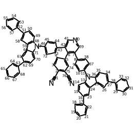 N#Cc1ccc(-c2c(-c3ccc(-n4c5ccc(-c6ccccc6)cc5c5cc(-c6ccccc6)ccc54)cc3)cncc2-c2ccc(-n3c4ccc(-c5ccccc5)cc4c4cc(-c5ccccc5)ccc43)cc2)cc1C#N